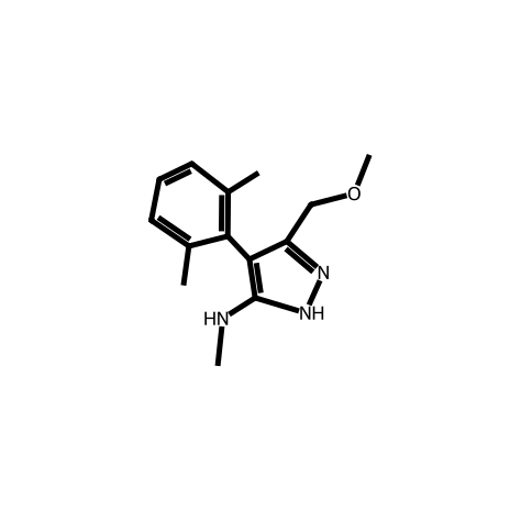 CNc1[nH]nc(COC)c1-c1c(C)cccc1C